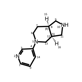 c1cncc(N2CC[C@H]3CNC[C@H]3C2)c1